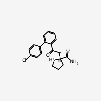 NC(=O)[C@]1([CH]C(=O)c2ccccc2-c2ccc(Cl)cc2)CCCN1